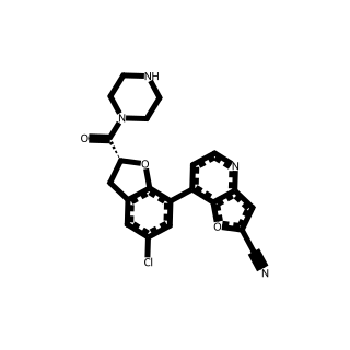 N#Cc1cc2nccc(-c3cc(Cl)cc4c3O[C@@H](C(=O)N3CCNCC3)C4)c2o1